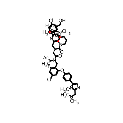 CC(=O)[C@H](C)N(Cc1c(F)cc(Cl)cc1Oc1ccc(-c2cnc(CN(C)C)n2C)cc1)C(=O)C[C@@H](Cc1cccc(C)n1)C(=O)N1CCC[C@](Cc2ccc(Cl)cc2)(N(C)C(=O)[C@@H](C)CO)C1